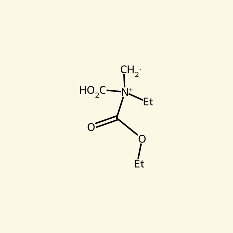 [CH2][N+](CC)(C(=O)O)C(=O)OCC